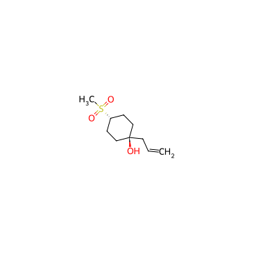 C=CC[C@]1(O)CC[C@H](S(C)(=O)=O)CC1